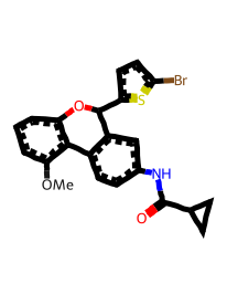 COc1cccc2c1-c1ccc(NC(=O)C3CC3)cc1C(c1ccc(Br)s1)O2